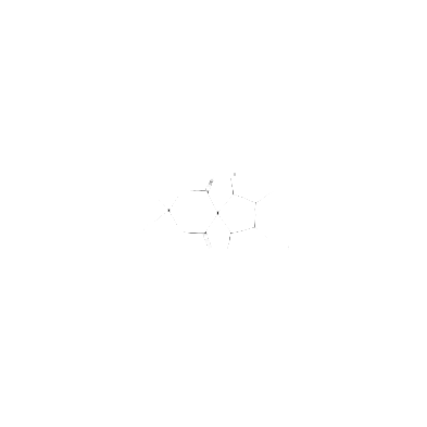 CC1C(C)C(O)C2(C(=O)OC(C)(C)OC2=O)C1O